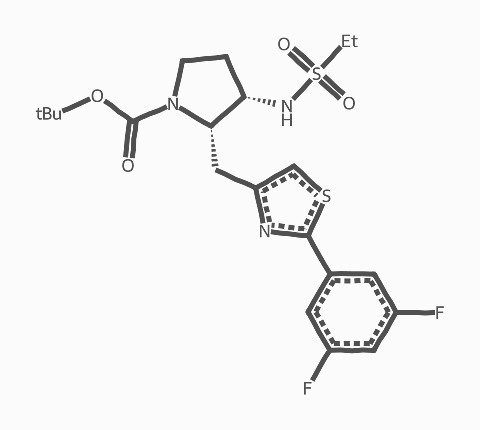 CCS(=O)(=O)N[C@H]1CCN(C(=O)OC(C)(C)C)[C@H]1Cc1csc(-c2cc(F)cc(F)c2)n1